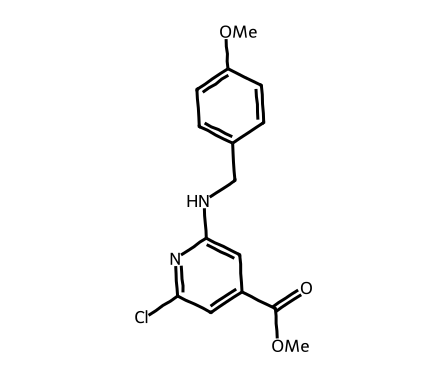 COC(=O)c1cc(Cl)nc(NCc2ccc(OC)cc2)c1